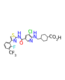 O=C(Nc1nc(-c2cccc(C(F)(F)F)c2F)cs1)c1cnc(NCC2CCC(C(=O)O)CC2)c(Cl)c1